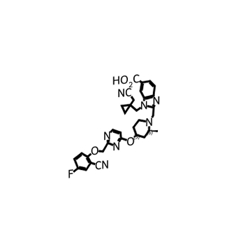 C[C@H]1C[C@@H](Oc2ccnc(COc3ccc(F)cc3C#N)n2)CCN1Cc1nc2ccc(C(=O)O)cc2n1CC1(CC#N)CC1